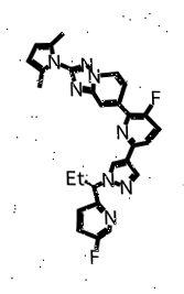 CC[C@H](c1ccc(F)cn1)n1cc(-c2ccc(F)c(-c3ccn4nc(-n5c(C)ccc5C)nc4c3)n2)cn1